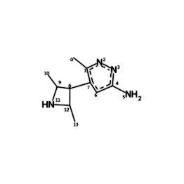 Cc1nnc(N)cc1C1C(C)NC1C